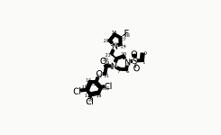 C=CS(=O)(=O)N1CCN(C(=O)COc2cc(Cl)c(Cl)cc2Cl)[C@@H](CN2CC[C@H](F)C2)C1